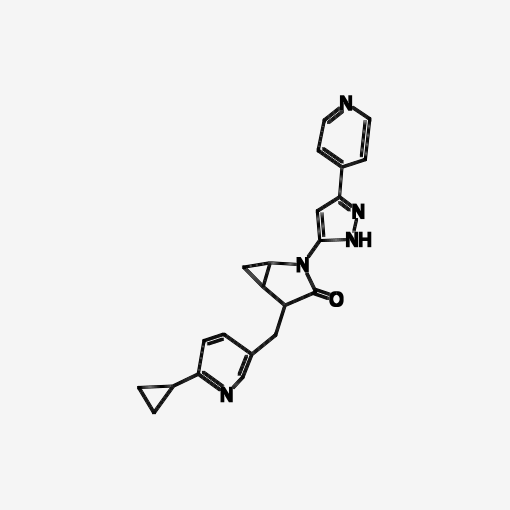 O=C1C(Cc2ccc(C3CC3)nc2)C2CC2N1c1cc(-c2ccncc2)n[nH]1